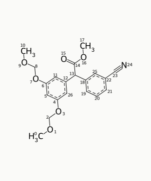 COCOc1cc(OCOC)cc(C(C(=O)OC)c2cccc(C#N)c2)c1